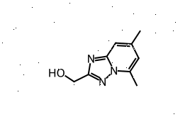 Cc1cc(C)n2nc(CO)nc2c1